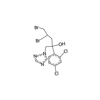 OC(CC(Br)CBr)(Cn1cncn1)c1ccc(Cl)cc1Cl